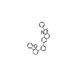 C1=C(c2cccc(-c3ccc4c(ccc5sc(-c6ccccc6)nc54)c3)c2)c2oc3ccccc3c2CC1